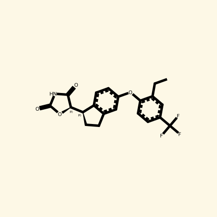 CCc1cc(C(F)(F)F)ccc1Oc1ccc2c(c1)CC[C@H]2[C@H]1OC(=O)NC1=O